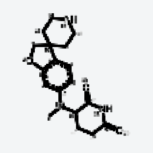 CN(c1ccc2c(c1)OCC21CCNCC1)C1CCC(=O)NC1=O